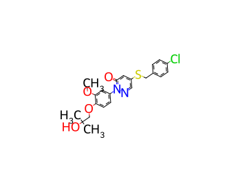 COc1cc(-n2ncc(SCc3ccc(Cl)cc3)cc2=O)ccc1OCC(C)(C)O